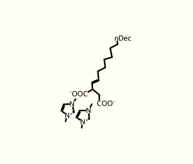 CCCCCCCCCCCCCCCCC=CC(CC(=O)[O-])C(=O)[O-].Cn1cc[n+](C)c1.Cn1cc[n+](C)c1